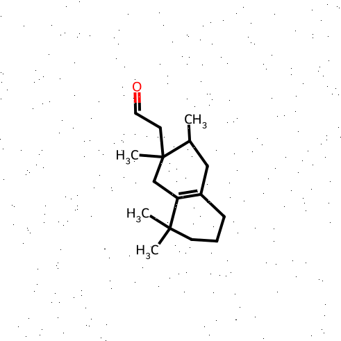 CC1CC2=C(CC1(C)CC=O)C(C)(C)CCC2